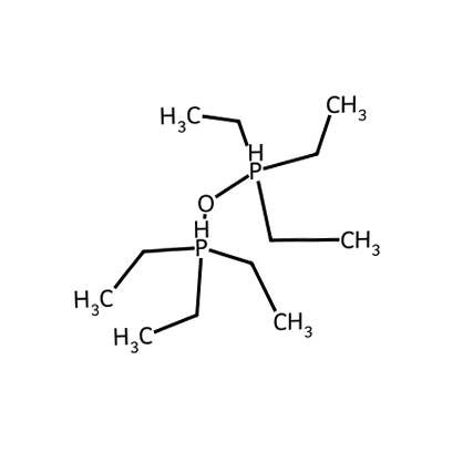 CC[PH](CC)(CC)O[PH](CC)(CC)CC